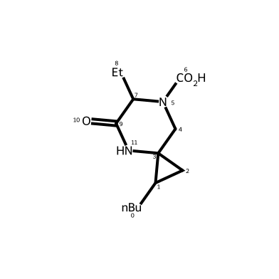 CCCCC1CC12CN(C(=O)O)C(CC)C(=O)N2